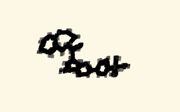 CC(C)S(=O)(=O)c1ccc(-c2cnc3[nH]cc(C(=O)N4CCOc5ccccc5C4)c3n2)cc1